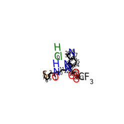 Cl.O=C(Cc1cccs1)NCCCn1nc2c(c1C(=O)OC(=O)C(F)(F)F)CCc1cnccc1-2